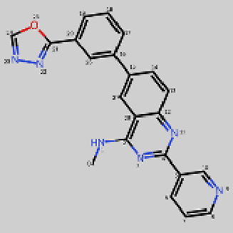 CNc1nc(-c2cccnc2)nc2ccc(-c3cccc(-c4nnco4)c3)cc12